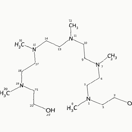 CN(CCO)CCN(C)CCN(C)CCN(C)CCN(C)CCO